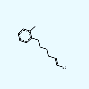 CCC=CCCCCc1ccccc1C